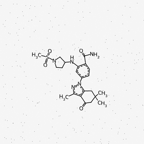 Cc1nn(-c2ccc(C(N)=O)c(NC3CCN(S(C)(=O)=O)C3)c2)c2c1C(=O)CC(C)(C)C2